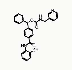 O=C(NCc1cccnc1)O[C@@H](c1ccccc1)c1ccc(C(=O)Nc2ccccc2S)cc1